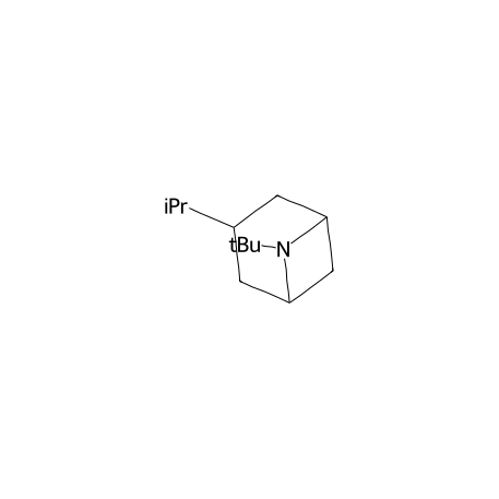 CC(C)C1CC2CC(C1)N2C(C)(C)C